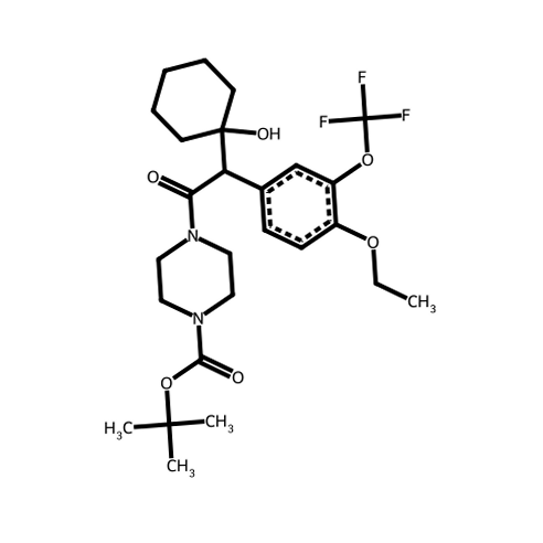 CCOc1ccc(C(C(=O)N2CCN(C(=O)OC(C)(C)C)CC2)C2(O)CCCCC2)cc1OC(F)(F)F